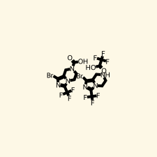 FC(F)(F)c1nc(Br)c2n1CCNC2.O=C(O)C(F)(F)F.O=C(O)N1CCn2c(C(F)(F)F)nc(Br)c2C1